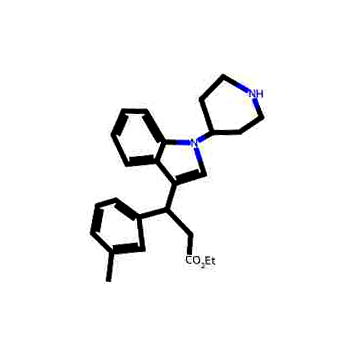 CCOC(=O)CC(c1cccc(C)c1)c1cn(C2CCNCC2)c2ccccc12